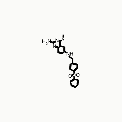 CSc1nc(N)nc2ccc(NCCc3ccc(S(=O)(=O)c4ccccc4)cc3)cc12